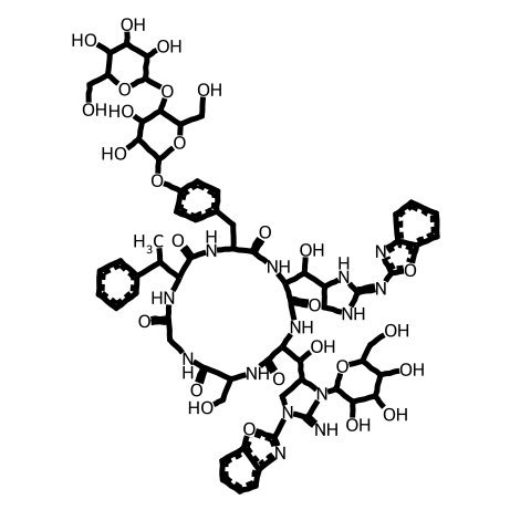 CC(c1ccccc1)C1NC(=O)CNC(=O)C(CO)NC(=O)C(C(O)C2CN(c3nc4ccccc4o3)C(=N)N2C2OC(CO)C(O)C(O)C2O)NC(=O)C(C(O)C2CN/C(=N/c3nc4ccccc4o3)N2)NC(=O)C(Cc2ccc(OC3OC(CO)C(OC4OC(CO)C(O)C(O)C4O)C(O)C3O)cc2)NC1=O